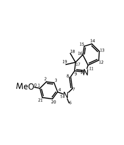 COc1ccc(N(C)/C=C/C2=Nc3ccccc3C2(C)C)cc1